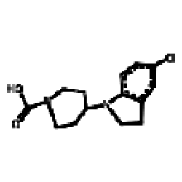 O=C(O)N1CCC(N2CCc3cc(Cl)ccc32)CC1